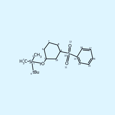 CC(C)(C)[Si](C)(C)OC1CC[CH]C(S(=O)(=O)c2ccccc2)C1